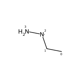 CC[N]N